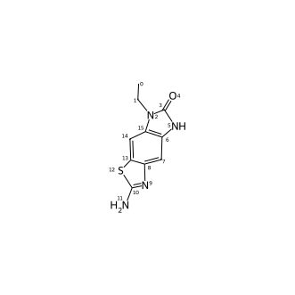 CCn1c(=O)[nH]c2cc3nc(N)sc3cc21